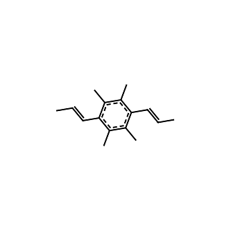 C/C=C/c1c(C)c(C)c(/C=C/C)c(C)c1C